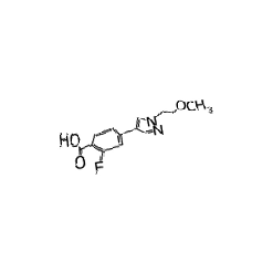 COCCn1cc(-c2ccc(C(=O)O)c(F)c2)cn1